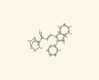 O=C(C=Cc1c(-c2ccccc2)nn2ccccc12)[N+]12CCC(CC1)C2